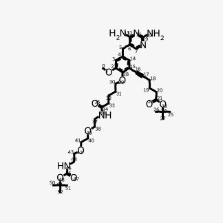 COc1cc(Cc2cnc(N)nc2N)cc(C#CCCCC(=O)OC(C)(C)C)c1OCCCCC(=O)NCCOCCOCCNC(=O)OC(C)(C)C